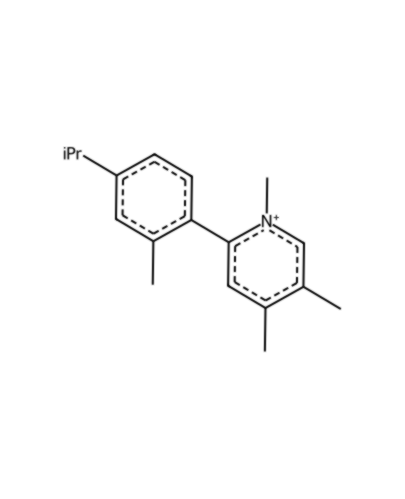 Cc1cc(-c2ccc(C(C)C)cc2C)[n+](C)cc1C